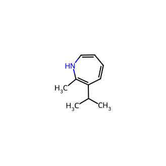 CC1=C(C(C)C)C=CC=CN1